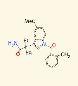 CCCC(CC)(C(N)=O)c1cn(C(=O)c2ccccc2C)c2ccc(OC)cc12